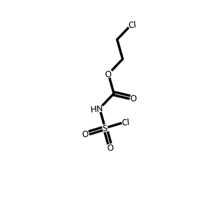 O=C(NS(=O)(=O)Cl)OCCCl